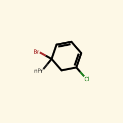 CCCC1(Br)C=CC=C(Cl)C1